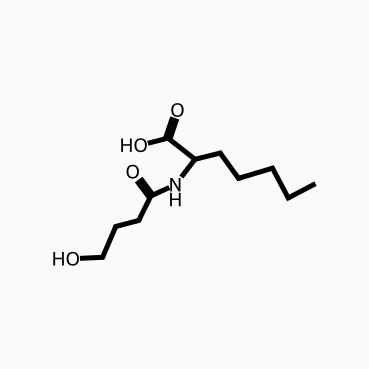 CCCCCC(NC(=O)CCCO)C(=O)O